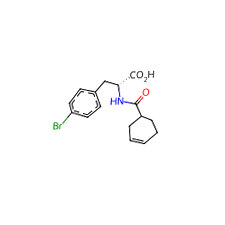 O=C(N[C@H](Cc1ccc(Br)cc1)C(=O)O)C1CC=CCC1